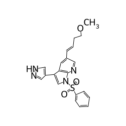 COCC/C=C/c1cnc2c(c1)c(-c1cn[nH]c1)cn2S(=O)(=O)c1ccccc1